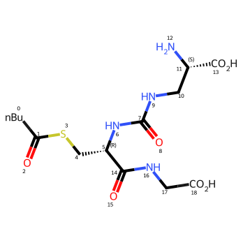 CCCCC(=O)SC[C@H](NC(=O)NC[C@H](N)C(=O)O)C(=O)NCC(=O)O